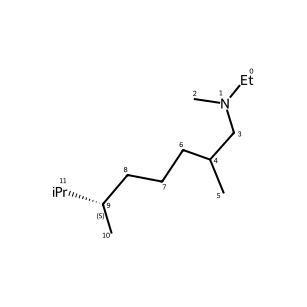 CCN(C)CC(C)CCC[C@H](C)C(C)C